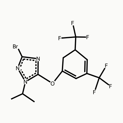 CC(C)n1nc(Br)nc1OC1=CC(C(F)(F)F)=CC(C(F)(F)F)C1